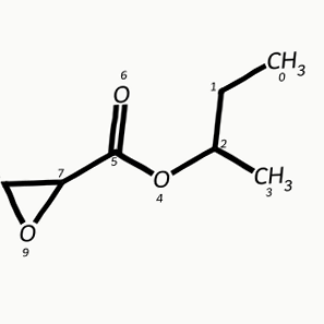 CCC(C)OC(=O)C1CO1